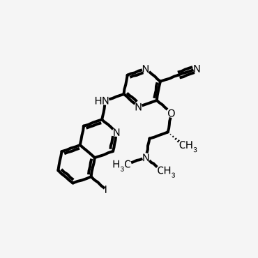 C[C@H](CN(C)C)Oc1nc(Nc2cc3cccc(I)c3cn2)cnc1C#N